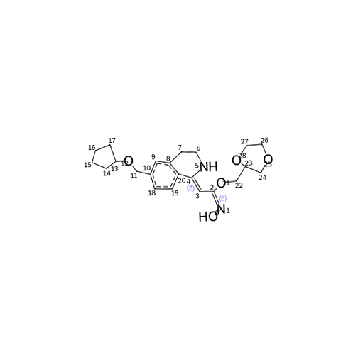 O/N=C(\C=C1/NCCc2cc(COC3CCCC3)ccc21)OCC1COCCO1